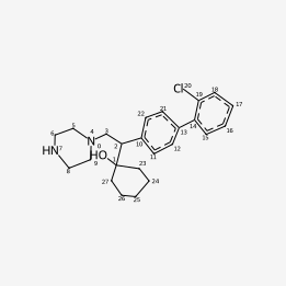 OC1(C(CN2CCNCC2)c2ccc(-c3ccccc3Cl)cc2)CCCCC1